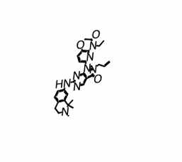 C=CCn1c(=O)c2cnc(Nc3ccc4c(c3)C(C)(C)N(C)CC4)nc2n1-c1ccc2c(n1)N(CC)C(=O)CO2